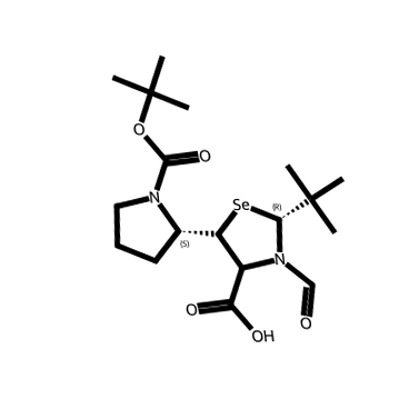 CC(C)(C)OC(=O)N1CCC[C@H]1C1[Se][C@H](C(C)(C)C)N(C=O)C1C(=O)O